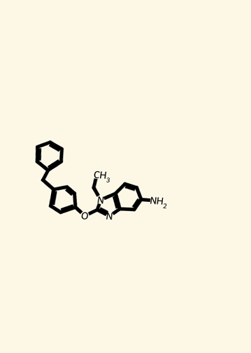 CCn1c(Oc2ccc(Cc3ccccc3)cc2)nc2cc(N)ccc21